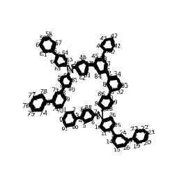 c1ccc(-c2ccc(N(c3ccc(-c4cccc(-c5ccccc5)c4)cc3)c3ccc(-c4cccc(-c5cc(-c6ccccc6)cc(-c6ccc(N(c7ccc(-c8ccccc8)cc7)c7ccc(-c8cccc(-c9ccccc9)c8)cc7)cc6)c5)c4)cc3)cc2)cc1